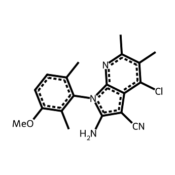 COc1ccc(C)c(-n2c(N)c(C#N)c3c(Cl)c(C)c(C)nc32)c1C